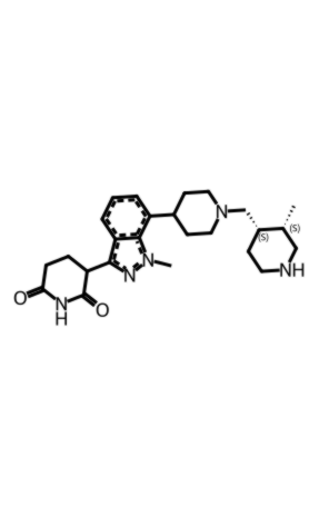 C[C@@H]1CNCC[C@@H]1CN1CCC(c2cccc3c(C4CCC(=O)NC4=O)nn(C)c23)CC1